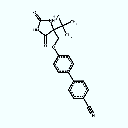 CC(C)(C)C1(COc2ccc(-c3ccc(C#N)cc3)cc2)NC(=O)NC1=O